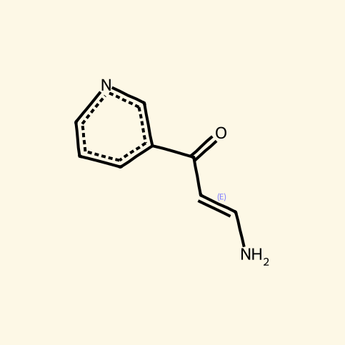 N/C=C/C(=O)c1cccnc1